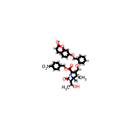 C[C@@H](O)[C@H]1C(=O)N2C(C(=O)OCc3ccc([N+](=O)[O-])cc3)=C(COc3ccccc3COc3ccc4ccc(=O)oc4c3)[C@H](C)[C@H]12